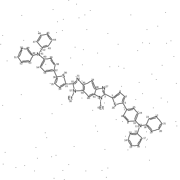 CCn1c(-c2ccc(-c3ccc(N(c4ccccc4)c4ccccc4)cc3)s2)nc2cc3nc(-c4ccc(-c5ccc(N(c6ccccc6)c6ccccc6)cc5)s4)n(CC)c3cc21